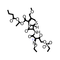 CCCC(=O)OC(C)OC(=O)C1=C(COC)CS[C@@H]2C(NC(=O)/C(=N/OCC)C(=O)COS(=O)(=O)CC)C(=O)N12